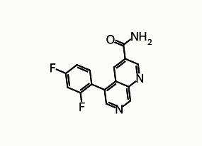 NC(=O)c1cnc2cncc(-c3ccc(F)cc3F)c2c1